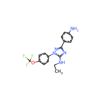 CCNc1nc(-c2ccc(N)cc2)nn1-c1ccc(OC(F)(F)F)cc1